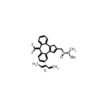 C=CC=CC.CN([Si](=O)CC1=CC2=C(C1)c1ccccc1C(=C(F)F)c1ccccc12)C(C)(C)C.[Ti]